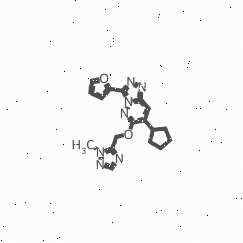 Cn1ncnc1COc1nn2c(-c3ccco3)nnc2cc1C1CCCC1